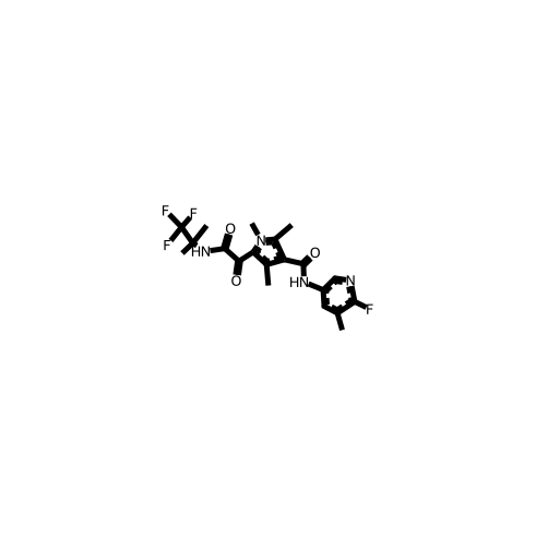 Cc1cc(NC(=O)c2c(C)c(C(=O)C(=O)NC(C)(C)C(F)(F)F)n(C)c2C)cnc1F